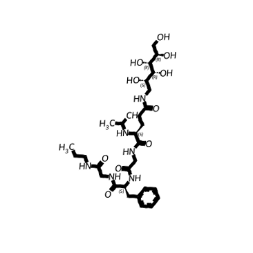 CCCNC(=O)CNC(=O)[C@H](Cc1ccccc1)NC(=O)CNC(=O)[C@H](CCC(=O)NC[C@H](O)[C@@H](O)[C@H](O)[C@H](O)CO)NC(C)C